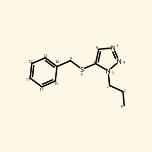 CCCn1nncc1SCc1ccccc1